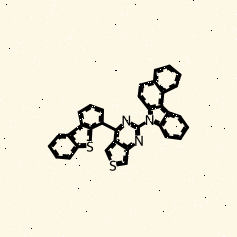 c1ccc2c(c1)ccc1c2c2ccccc2n1-c1nc(-c2cccc3c2sc2ccccc23)c2cscc2n1